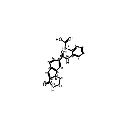 O=C(O)Nc1ccccc1NC(=O)c1ccc2cc3n(c2c1)CCNC3=O